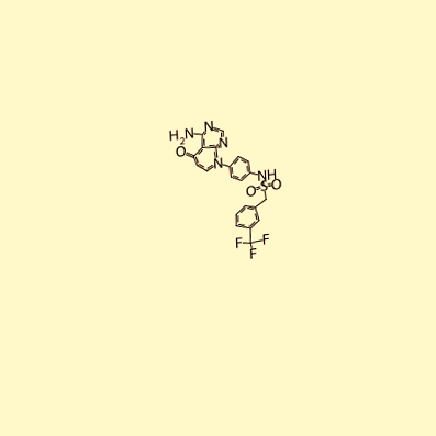 Nc1ncnc2c1c(=O)ccn2-c1ccc(NS(=O)(=O)Cc2cccc(C(F)(F)F)c2)cc1